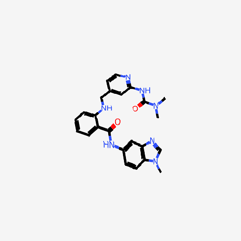 CN(C)C(=O)Nc1cc(CNc2ccccc2C(=O)Nc2ccc3c(c2)ncn3C)ccn1